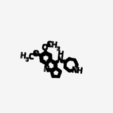 COc1cc2nc3c(c(N[C@H]4CCCNCC4)c2cc1OC)CCC3